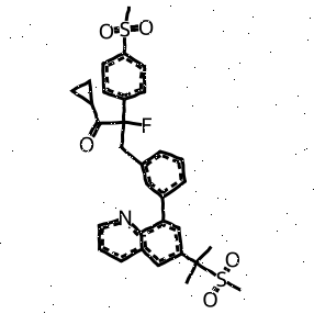 CC(C)(c1cc(-c2cccc(CC(F)(C(=O)C3CC3)c3ccc(S(C)(=O)=O)cc3)c2)c2ncccc2c1)S(C)(=O)=O